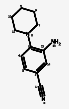 N#Cc1ccc(N2CCCCC2)c(N)c1